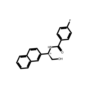 O=C(N[C@@H](CO)c1ccc2ccccc2c1)c1ccc(F)cc1